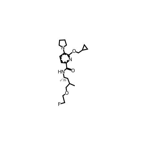 CC(COCCF)C[C@H](C)NC(=O)c1ccc(N2CCCC2)c(OCC2CC2)n1